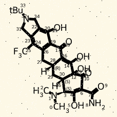 CN(C)[C@@H]1C(O)=C(C(N)=O)C(=O)C2(O)C(O)=C3C(=O)c4c(O)c5c(c(C(F)(F)F)c4C[C@H]3C[C@@H]12)CN(C(C)(C)C)C5